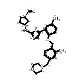 Cc1ccc(OCc2ccc(CN3CCOCC3)cc2C)c(-c2csc(N[C@H]3CC[C@@H](C=O)C3)n2)c1